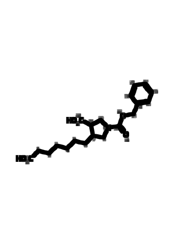 O=C(O)CCCCCCC1CN(C(=O)OCc2ccccc2)CC1C(=O)O